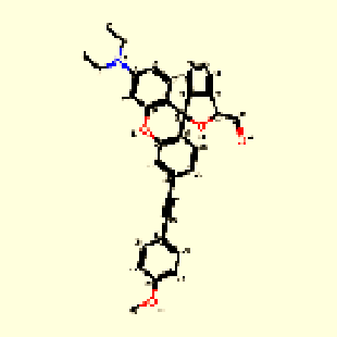 CCN(CC)c1ccc2c(c1)Oc1cc(C#Cc3ccc(OC)cc3)ccc1C21OC(C=O)c2ccccc21